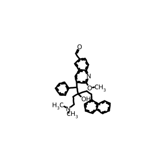 COc1nc2ccc(C=O)cc2cc1C(c1ccccc1)C(O)(CCc1cccc2ccccc12)CCN(C)C